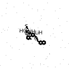 CSCC[C@H](NC(=O)c1ccc(COCCc2ccc3ccccc3c2)cc1-c1ccccc1C)C(=O)O.[LiH]